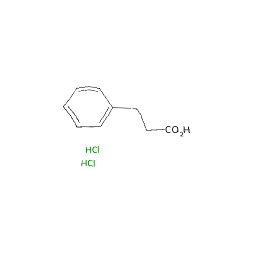 Cl.Cl.O=C(O)CCc1ccccc1